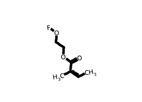 CC=C(C)C(=O)OCCOF